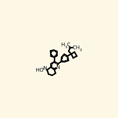 C[C](C)CC1(c2ccc(-c3nc4c(cc3-c3ccccc3)C(=NO)CCC4)cc2)CCC1